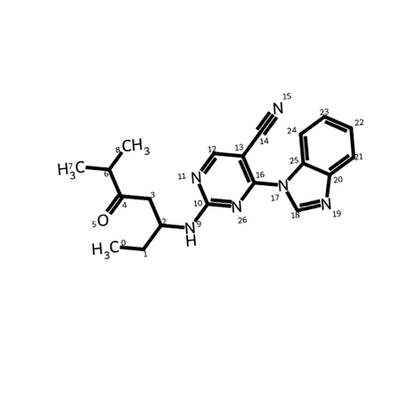 CCC(CC(=O)C(C)C)Nc1ncc(C#N)c(-n2cnc3ccccc32)n1